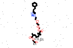 CCOC(=O)C(CC(C)C(=O)OCC(=O)CC)CC(C)(C)C(=O)OCOCCOCCn1cc(CCC2CCCCC2)nn1